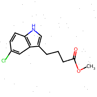 COC(=O)CCCc1c[nH]c2ccc(Cl)cc12